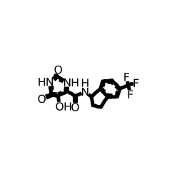 O=C(NC1CCc2cc(C(F)(F)F)ccc21)c1[nH]c(=O)[nH]c(=O)c1O